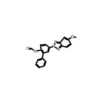 COc1ccc2nn(-c3ccc(O[C]=O)c(-c4ccccc4)c3)nc2c1